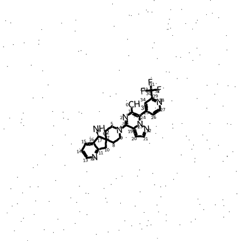 Cc1nc(N2CCC3(CC2)Cc2ncccc2[C@H]3N)c2ccnn2c1-c1ccnc(C(F)(F)F)c1